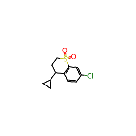 O=S1(=O)CCC(C2CC2)c2ccc(Cl)cc21